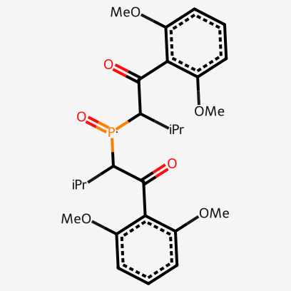 COc1cccc(OC)c1C(=O)C(C(C)C)[P](=O)C(C(=O)c1c(OC)cccc1OC)C(C)C